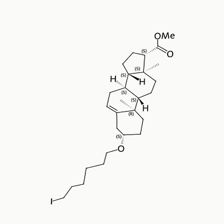 COC(=O)[C@H]1CC[C@H]2[C@@H]3CC=C4C[C@@H](OCCCCCCI)CC[C@]4(C)[C@H]3CC[C@]12C